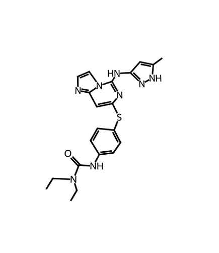 CCN(CC)C(=O)Nc1ccc(Sc2cc3nccn3c(Nc3cc(C)[nH]n3)n2)cc1